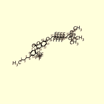 CCCCCc1ccc(-c2cc3ccc(OCCC(F)(F)C(F)(F)C(F)(F)C(F)(F)CC[Si](OCC)(OCC)OCC)cc3oc2=O)c(OC(F)(F)F)c1